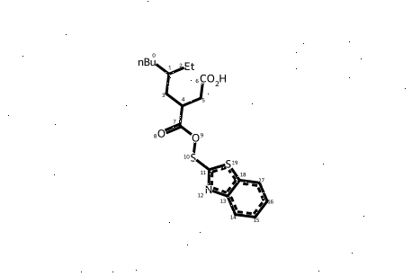 CCCCC(CC)CC(CC(=O)O)C(=O)OSc1nc2ccccc2s1